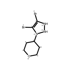 BrC1=C(Br)N(C2CCOCC2)NN1